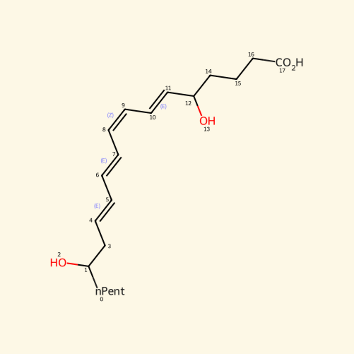 CCCCCC(O)C/C=C/C=C/C=C\C=C\C(O)CCCC(=O)O